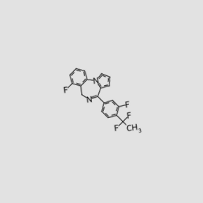 CC(F)(F)c1ccc(C2=NCc3c(F)cccc3-n3cccc32)cc1F